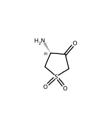 N[C@H]1CS(=O)(=O)CC1=O